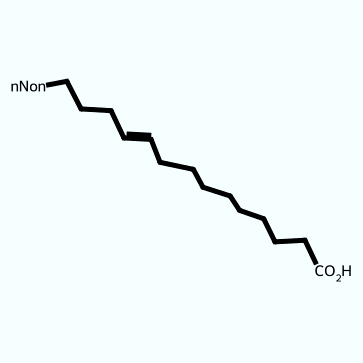 CCCCCCCCCCCCC=CCCCCCCCCC(=O)O